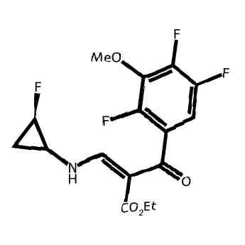 CCOC(=O)C(=CNC1C[C@H]1F)C(=O)c1cc(F)c(F)c(OC)c1F